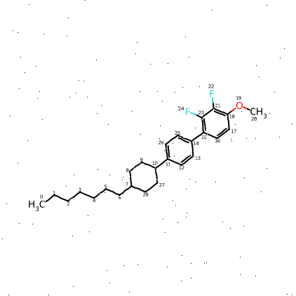 CCCCCCCC1CCC(c2ccc(-c3ccc(OC)c(F)c3F)cc2)CC1